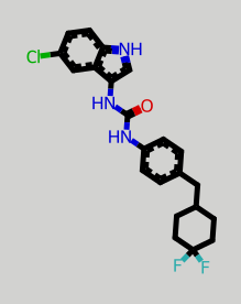 O=C(Nc1ccc(CC2CCC(F)(F)CC2)cc1)Nc1c[nH]c2ccc(Cl)cc12